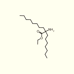 CCCCCCCCC(N)(CCCCCCC)C(=O)OCC